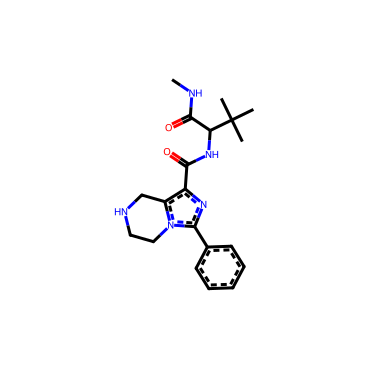 CNC(=O)C(NC(=O)c1nc(-c2ccccc2)n2c1CNCC2)C(C)(C)C